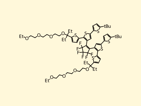 CCOCCOCCOCCOC(CC)(CC)c1ccc(-c2sc(-c3ccc(C(C)(C)C)s3)cc2C2=C(c3cc(-c4ccc(C(C)(C)C)s4)sc3-c3ccc(C(CC)(CC)OCCOCCOCCOCC)s3)C(F)(F)C(F)(F)C2(F)F)s1